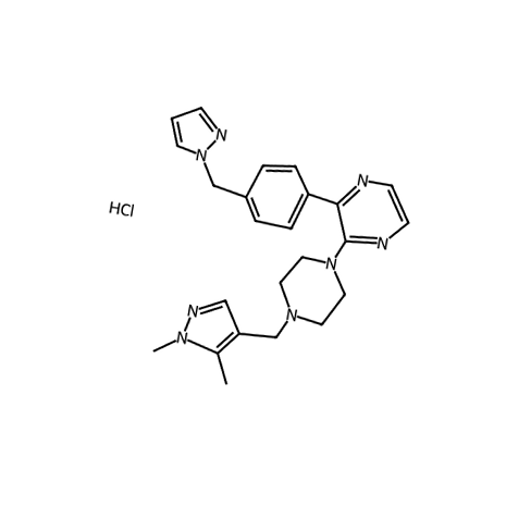 Cc1c(CN2CCN(c3nccnc3-c3ccc(Cn4cccn4)cc3)CC2)cnn1C.Cl